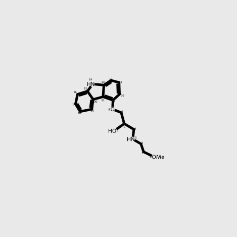 COCCNCC(O)COc1cccc2[nH]c3ccccc3c12